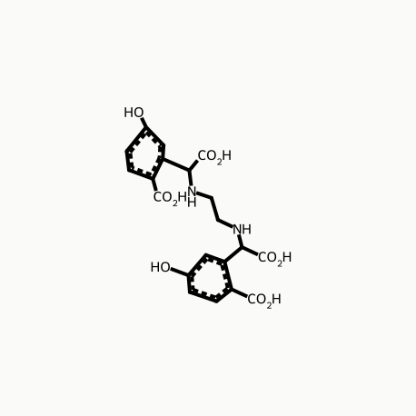 O=C(O)c1ccc(O)cc1C(NCCNC(C(=O)O)c1cc(O)ccc1C(=O)O)C(=O)O